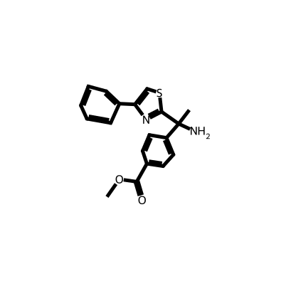 COC(=O)c1ccc(C(C)(N)c2nc(-c3ccccc3)cs2)cc1